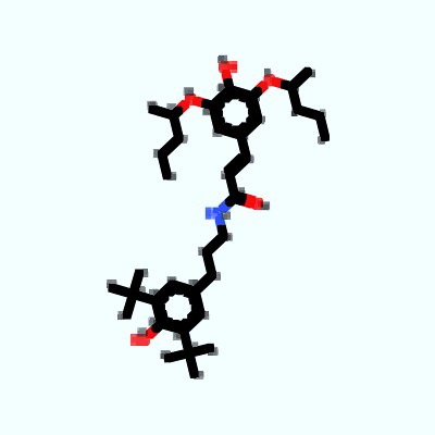 CCCC(C)Oc1cc(/C=C/C(=O)NCCCc2cc(C(C)(C)C)c(O)c(C(C)(C)C)c2)cc(OC(C)CCC)c1O